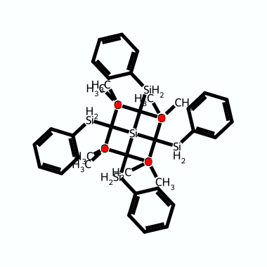 COC(OC)([SiH2]c1ccccc1)[Si](C(OC)(OC)[SiH2]c1ccccc1)(C(OC)(OC)[SiH2]c1ccccc1)C(OC)(OC)[SiH2]c1ccccc1